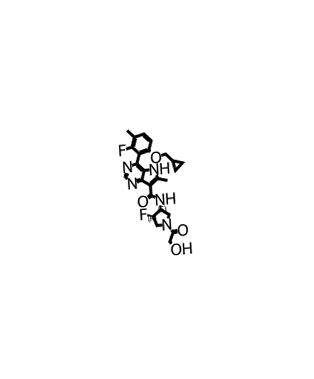 Cc1ccc(OCC2CC2)c(-c2ncnc3c(C(=O)N[C@H]4CN(C(=O)CO)C[C@H]4F)c(C)[nH]c23)c1F